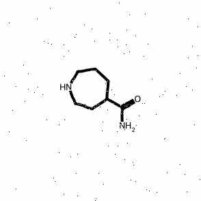 NC(=O)C1CCCNCC1